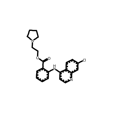 O=C(OCCN1CCCC1)c1ccccc1Nc1ccnc2cc(Cl)ccc12